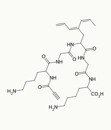 C#CC(=O)NC(CCCCN)C(=O)NCC(=O)NC(CC(/C=C\C)=C/C=C)C(=O)NCC(=O)NC(CCCCN)C(=O)O